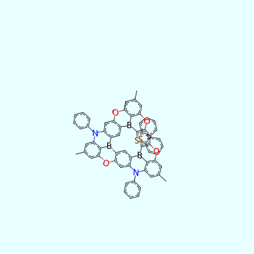 Cc1cc2c3c(c1)Oc1c(sc4ccccc14)B3c1cc3c(cc1O2)N(c1ccccc1)c1cc(C)cc2c1B3c1cc3c(cc1O2)N(c1ccccc1)c1cc(C)cc2c1B3c1sc3ccccc3c1O2